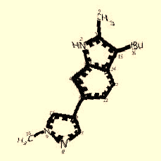 Cc1[nH]c2cc(-c3cnn(C)c3)ccc2c1C(C)(C)C